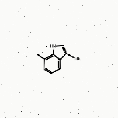 CCCCc1c[nH]c2c(C)cccc12